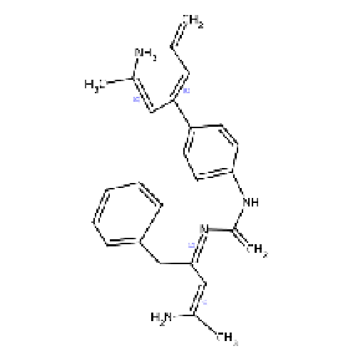 C=C/C=C(\C=C(\C)N)c1ccc(NC(=C)/N=C(\C=C(\C)N)Cc2ccccc2)cc1